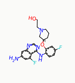 Nc1cc(F)c2c(Nc3ccc(F)cc3O[C@@H]3CCCN(CCO)C3)ncnc2c1